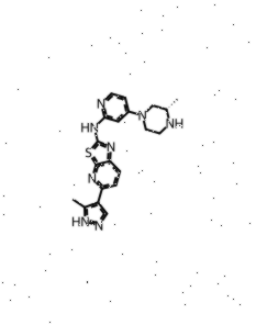 Cc1[nH]ncc1-c1ccc2nc(Nc3cc(N4CCN[C@@H](C)C4)ccn3)sc2n1